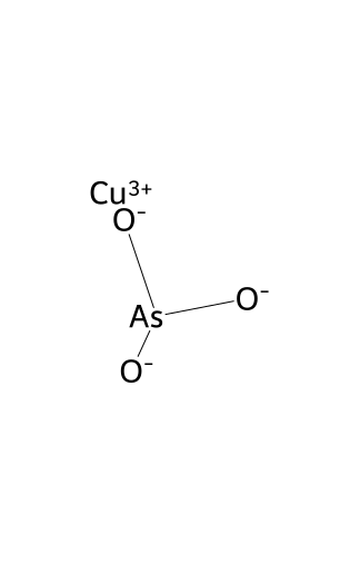 [Cu+3].[O-][As]([O-])[O-]